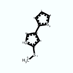 CSc1cc(-c2cccs2)co1